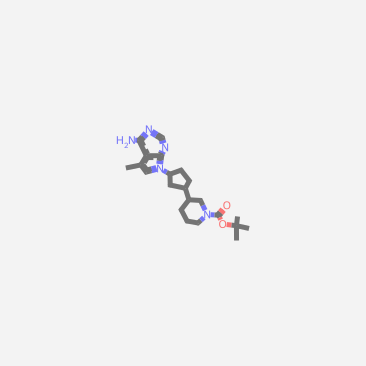 Cc1cn(C2CCC(C3CCCN(C(=O)OC(C)(C)C)C3)C2)c2ncnc(N)c12